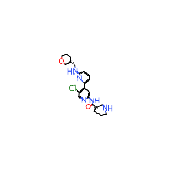 O=C(Nc1cc(-c2cccc(NC[C@H]3CCCOC3)n2)c(Cl)cn1)[C@@H]1CCCNC1